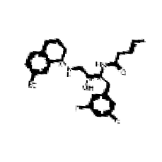 CC=CCC(=O)N[C@@H](Cc1cc(F)cc(F)c1)[C@H](O)CN[C@H]1CCCc2ccc(CC)cc21